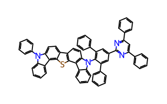 c1ccc(-c2cc(-c3ccccc3)nc(-c3cc(-c4ccccc4)c(-n4c5ccccc5c5c6sc7c(ccc8c7c7ccccc7n8-c7ccccc7)c6ccc54)c(-c4ccccc4)c3)n2)cc1